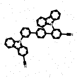 N#Cc1ccc(-c2ccc(-c3cccc(-n4c5ccccc5c5cc(C#N)ccc54)c3)cc2)c(-n2c3ccccc3c3ccccc32)c1